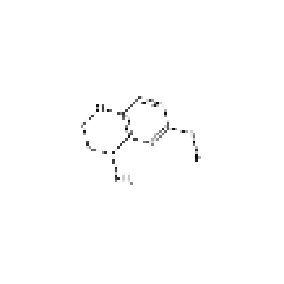 NC1CCOc2ccc(SF)cc21